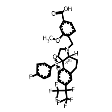 COc1cc(C(=O)O)ccc1CN1CC[C@@]2(S(=O)(=O)c3ccc(F)cc3)c3ccc(C(F)(C(F)(F)F)C(F)(F)F)cc3CC[C@@H]12